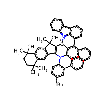 CCCCc1ccc(N2C3=C(B4c5c2cc2ccccc2c5-c2cccc5c6ccccc6n4c25)C(C)(C)c2cc4c(cc23)C(C)(C)CCC4(C)C)c(-c2ccccc2)c1